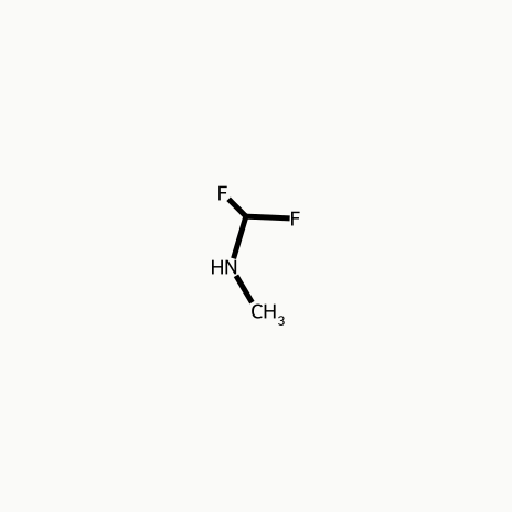 CNC(F)F